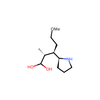 COCC[C@@H]([C@@H]1CCCN1)[C@@H](C)C(O)O